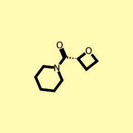 O=C([C@H]1CCO1)N1CCCCC1